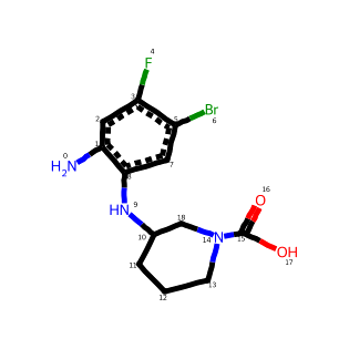 Nc1cc(F)c(Br)cc1NC1CCCN(C(=O)O)C1